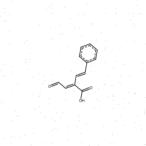 O=C/C=C(\C=C\c1ccccc1)C(=O)O